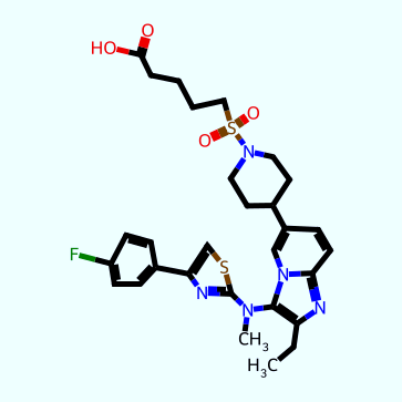 CCc1nc2ccc(C3CCN(S(=O)(=O)CCCCC(=O)O)CC3)cn2c1N(C)c1nc(-c2ccc(F)cc2)cs1